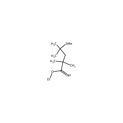 CCOC(=N)C(C)(C)CC(C)(C)SC